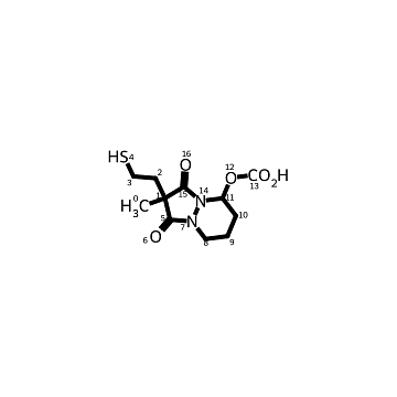 CC1(CCS)C(=O)N2CCCC(OC(=O)O)N2C1=O